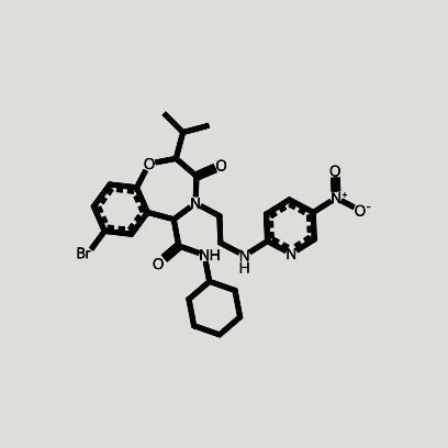 CC(C)C1Oc2ccc(Br)cc2C(C(=O)NC2CCCCC2)N(CCNc2ccc([N+](=O)[O-])cn2)C1=O